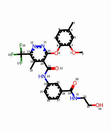 COc1cc(C)ccc1Oc1nnc(C(F)(F)F)c(C)c1C(=O)Nc1cccc(C(=O)NCCO)c1